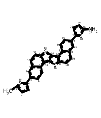 Cc1ccc(-c2ccc3c(ccc4sc5c(sc6ccc7cc(-c8ccc(N)s8)ccc7c65)c43)c2)s1